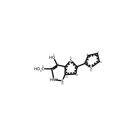 O=C(O)C1=C(O)c2sc(-c3cccs3)cc2SN1